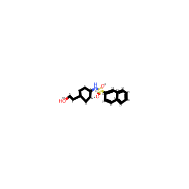 O=S(=O)(NC1CCC(CCO)CC1)c1ccc2ccccc2c1